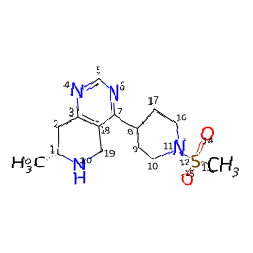 C[C@@H]1Cc2ncnc(C3CCN(S(C)(=O)=O)CC3)c2CN1